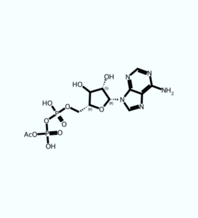 CC(=O)OP(=O)(O)OP(=O)(O)OC[C@H]1O[C@@H](n2cnc3c(N)ncnc32)[C@@H](O)C1O